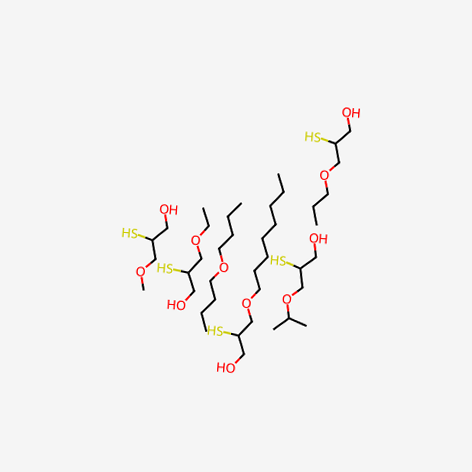 CC(C)OCC(S)CO.CCCCCCCCOCC(S)CO.CCCCOCCCC.CCCOCC(S)CO.CCOCC(S)CO.COCC(S)CO